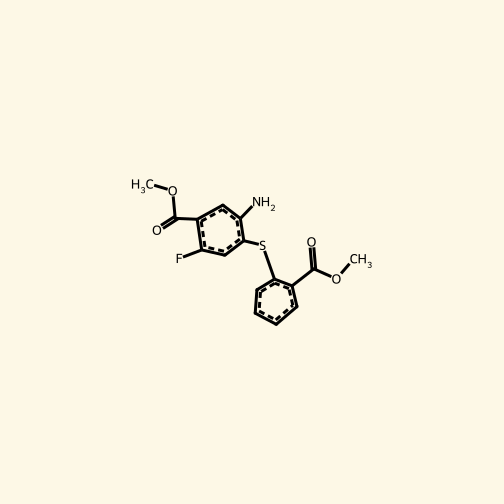 COC(=O)c1cc(N)c(Sc2ccccc2C(=O)OC)cc1F